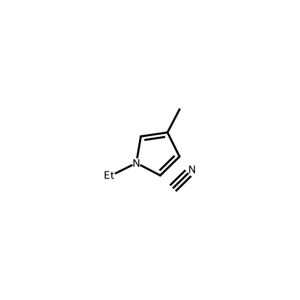 C#N.CCn1ccc(C)c1